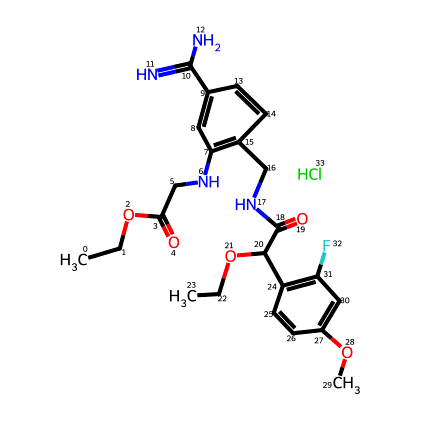 CCOC(=O)CNc1cc(C(=N)N)ccc1CNC(=O)C(OCC)c1ccc(OC)cc1F.Cl